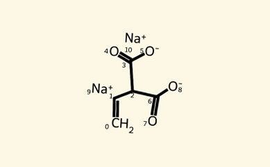 C=CC(C(=O)[O-])C(=O)[O-].[Na+].[Na+]